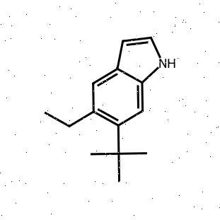 CCc1cc2cc[nH]c2cc1C(C)(C)C